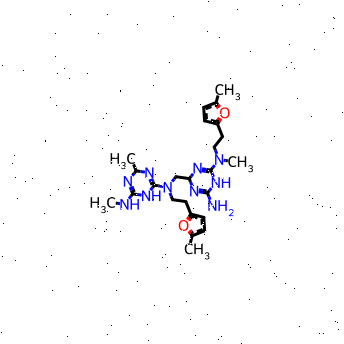 CNC1=NC(C)N=C(N(CCc2ccc(C)o2)CC2N=C(N)NC(N(C)CCc3ccc(C)o3)=N2)N1